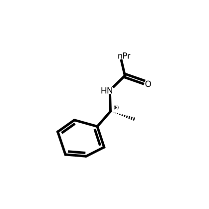 CCCC(=O)N[C@H](C)c1ccccc1